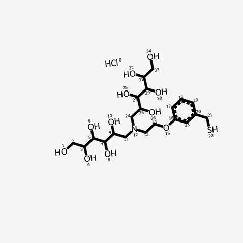 Cl.OCC(O)C(O)C(O)C(O)CN(CCOc1cccc(CS)c1)CC(O)C(O)C(O)C(O)CO